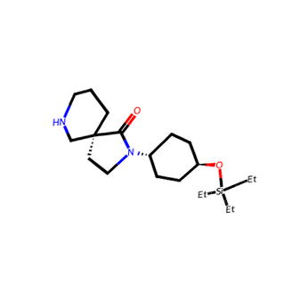 CC[Si](CC)(CC)O[C@H]1CC[C@H](N2CC[C@]3(CCCNC3)C2=O)CC1